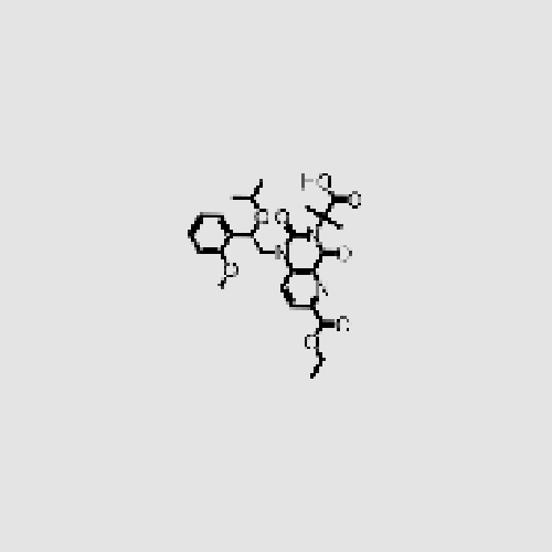 CCOC(=O)c1ccc2c(n1)c(=O)n(C(C)(C)C(=O)O)c(=O)n2C[C@H](OC(C)C)c1ccccc1OC